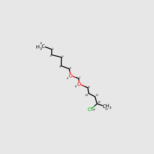 CCCCCCOCOCCCC(C)Cl